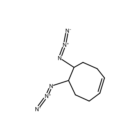 [N-]=[N+]=NC1CCC=CCCC1N=[N+]=[N-]